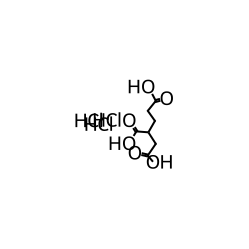 Cl.Cl.Cl.O=C(O)CCC(CC(=O)O)C(=O)O